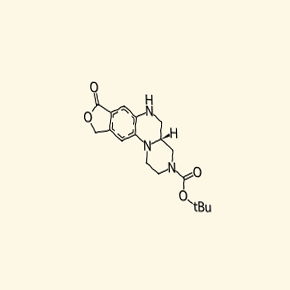 CC(C)(C)OC(=O)N1CCN2c3cc4c(cc3NC[C@@H]2C1)C(=O)OC4